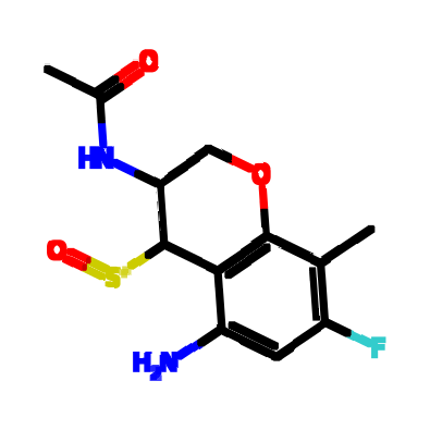 CC(=O)NC1COc2c(C)c(F)cc(N)c2C1[S+]=O